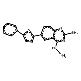 NNc1nc(N)nc2ccc(-c3ccc(-c4ccccc4)s3)cc12